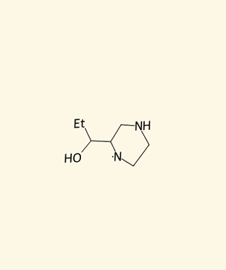 CCC(O)C1CNCC[N]1